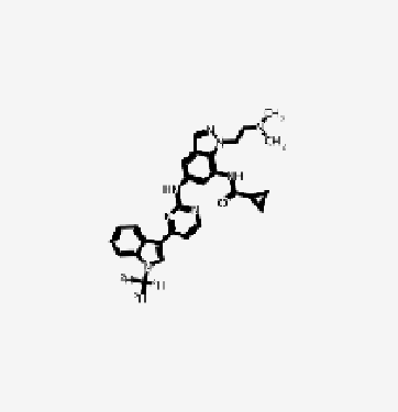 [2H]C([2H])([2H])n1cc(-c2ccnc(Nc3cc(NC(=O)C4CC4)c4c(cnn4CCN(C)C)c3)n2)c2ccccc21